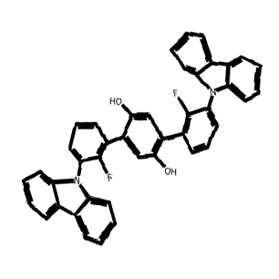 Oc1cc(-c2cccc(-n3c4ccccc4c4ccccc43)c2F)c(O)cc1-c1cccc(-n2c3ccccc3c3ccccc32)c1F